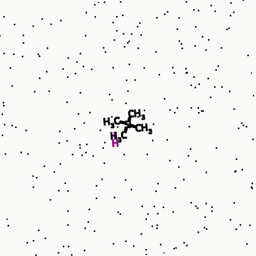 C[Si](C)(C)C.I